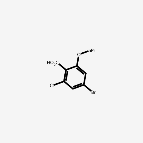 CCCOc1cc(Br)cc(Cl)c1C(=O)O